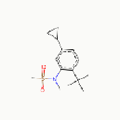 CN(c1cc(C2CC2)ccc1C(C)(C)C)S(C)(=O)=O